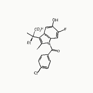 CC[C@@](C)(C(=O)O)c1c(C)n(C(=O)c2ccc(Cl)cc2)c2cc(F)c(O)cc12